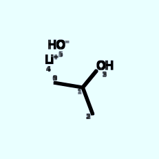 CC(C)O.[Li+].[OH-]